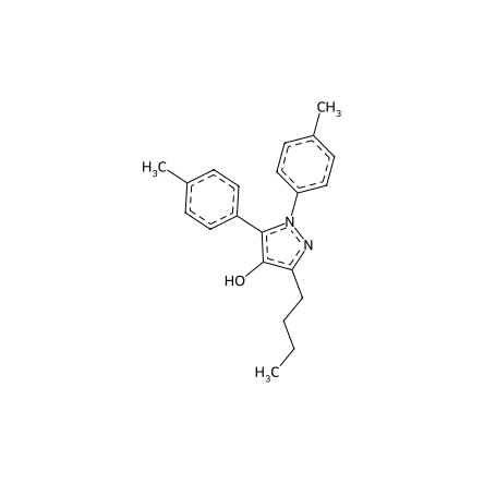 CCCCc1nn(-c2ccc(C)cc2)c(-c2ccc(C)cc2)c1O